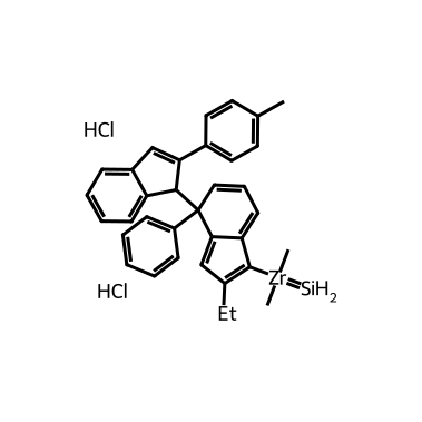 CCC1=[C]([Zr]([CH3])([CH3])=[SiH2])C2=CC=CC(c3ccccc3)(C3C(c4ccc(C)cc4)=Cc4ccccc43)C2=C1.Cl.Cl